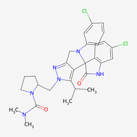 CC(C)c1c2c(nn1CC1CCCN1C(=O)N(C)C)CN(c1cccc(Cl)c1)C21C(=O)Nc2cc(Cl)ccc21